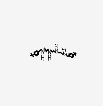 CC(C)(C)c1ccc(CNCCCNCCCCNCCCNCc2ccc(C(C)(C)C)cc2)cc1